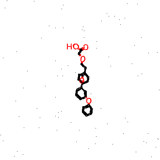 O=C(O)COCCC12CCC(c3cccc(Oc4ccccc4)c3)(CC1)OC2